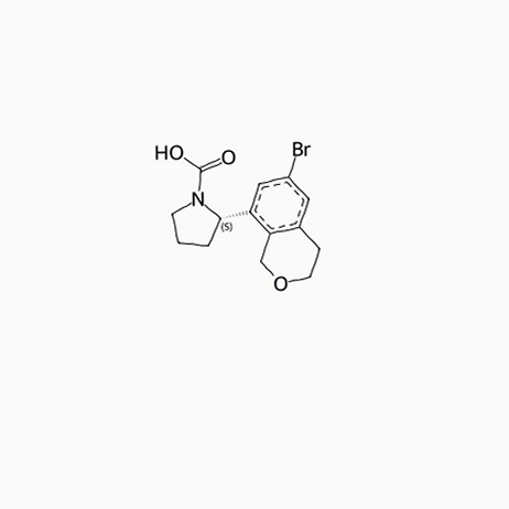 O=C(O)N1CCC[C@H]1c1cc(Br)cc2c1COCC2